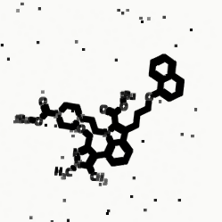 Cc1c(-c2cccc3c(CCCOc4cccc5ccccc45)c(C(=O)OC(C)(C)C)n(CCN4CCN(C(=O)OC(C)(C)C)CC4)c23)c(CO)nn1C